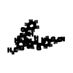 C[C@H]1C[C@H]2CSC(NC(=O)c3ccccc3)=N[C@@]2(c2nc(NC(=O)c3ccc(OCC#N)cn3)cs2)CO1